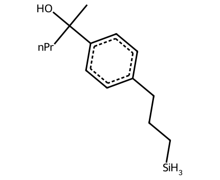 CCCC(C)(O)c1ccc(CCC[SiH3])cc1